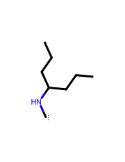 [C]NC(CCC)CCC